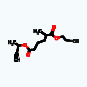 C#CC(C)OC(=O)CCCC(C)C(=O)OCCC#N